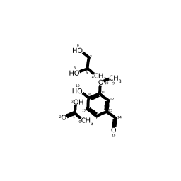 CC(=O)O.CC(O)CO.COc1cc(C=O)ccc1O